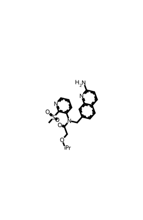 CC(C)OCC(=O)N(Cc1ccc2ccc(N)nc2c1)c1cccnc1S(C)(=O)=O